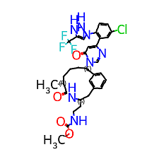 COC(=O)NCC[C@@H]1Cc2cccc(c2)[C@@H](n2cnc(-c3cc(Cl)ccc3N3C=C(C(F)(F)F)NN3)cc2=O)CCC[C@@H](C)C(=O)N1